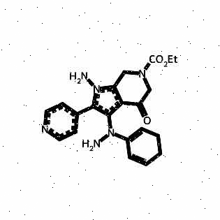 CCOC(=O)N1CC(=O)c2c(N(N)C3=CCCC=C3)c(-c3ccncc3)n(N)c2C1